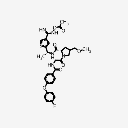 COCC1C[C@@H](C(=O)N[C@H](C)c2cc(C(=N)NOC(C)=O)cs2)N(C(=O)CNC(=O)c2ccc(Oc3ccc(F)cc3)cc2)C1